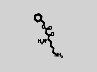 NCCCC[C@H](N)C(=O)CC(=O)OCc1ccccc1